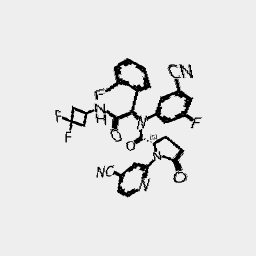 N#Cc1cc(F)cc(N(C(=O)[C@@H]2CCC(=O)N2c2cc(C#N)ccn2)C(C(=O)NC2CC(F)(F)C2)c2ccccc2F)c1